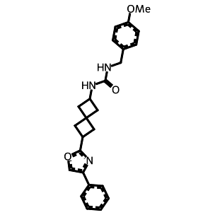 COc1ccc(CNC(=O)NC2CC3(C2)CC(c2nc(-c4ccccc4)co2)C3)cc1